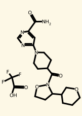 NC(=O)c1cc(N2CCC(C(=O)N3OCCC3C3CCCOC3)CC2)ncn1.O=C(O)C(F)(F)F